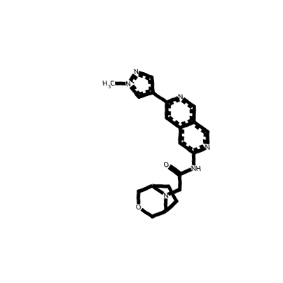 Cn1cc(-c2cc3cc(NC(=O)CN4C5CCC4COC5)ncc3cn2)cn1